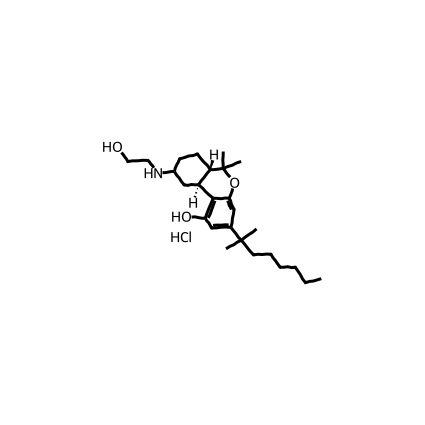 CCCCCCC(C)(C)c1cc(O)c2c(c1)OC(C)(C)[C@H]1CCC(NCCO)C[C@H]21.Cl